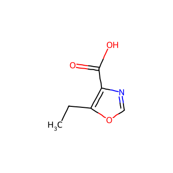 CCc1ocnc1C(=O)O